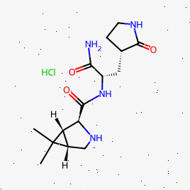 CC1(C)[C@@H]2[C@@H](C(=O)N[C@@H](C[C@@H]3CCNC3=O)C(N)=O)NC[C@@H]21.Cl